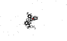 CC(=O)c1cn(CCCN2C3CCC2CC(Oc2ccc(F)cc2)C3)c2c(C)cccc12